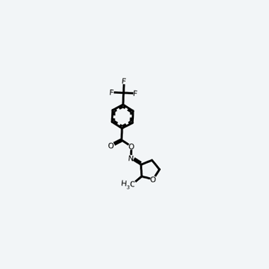 CC1OCCC1=NOC(=O)c1ccc(C(F)(F)F)cc1